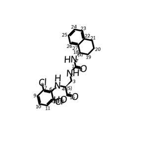 O=C(NC[C@H](Nc1c(Cl)cccc1Cl)C(=O)O)N[C@H]1CCCc2ccccc21